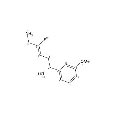 COc1cccc(CCC=C(F)CN)c1.Cl